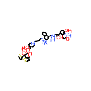 O=C(OCC1(O)CCN(CCCn2nnc3cc(CNC[C@H](O)c4ccc(O)c5[nH]c(=O)ccc45)c4c(c32)CCC4)CC1)C(O)(c1cccs1)c1cccs1